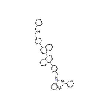 NC(N/C(=N\Cc1ccc(-c2ccc(-c3ccc(-c4ccc(CNCc5ccccc5)cc4)c4ccccc34)c3ccccc23)cc1)c1ccccc1)c1ccccc1